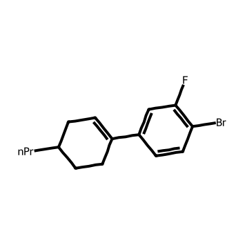 CCCC1CC=C(c2ccc(Br)c(F)c2)CC1